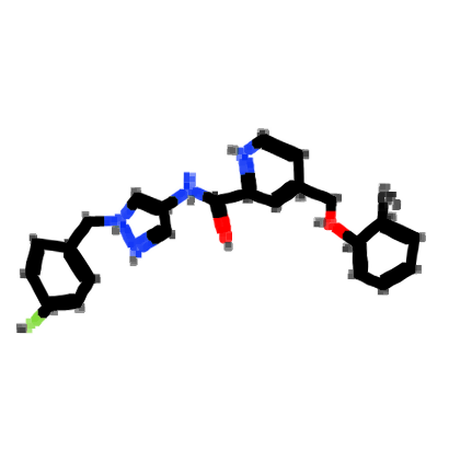 O=C(Nc1cnn(Cc2ccc(F)cc2)c1)c1cc(COc2ccccc2C(F)(F)F)ccn1